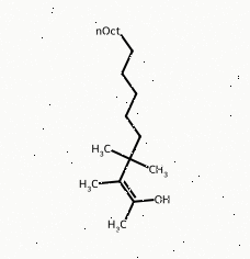 CCCCCCCCCCCCCC(C)(C)C(C)=C(C)O